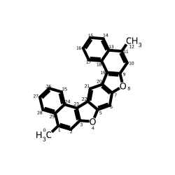 Cc1cc2oc3cc4oc5cc(C)c6ccccc6c5c4cc3c2c2ccccc12